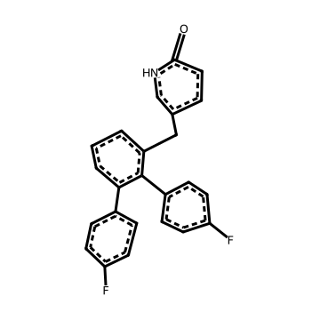 O=c1ccc(Cc2cccc(-c3ccc(F)cc3)c2-c2ccc(F)cc2)c[nH]1